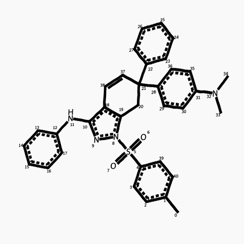 Cc1ccc(S(=O)(=O)n2nc(Nc3ccccc3)c3c2CC(c2ccccc2)(c2ccc(N(C)C)cc2)C=C3)cc1